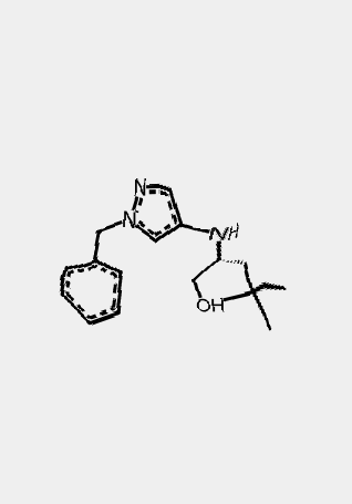 CC(C)(C)C[C@H](CO)Nc1cnn(Cc2ccccc2)c1